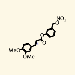 COc1ccc(/C=C/C(=O)Oc2cccc(CO[N+](=O)[O-])c2)cc1OC